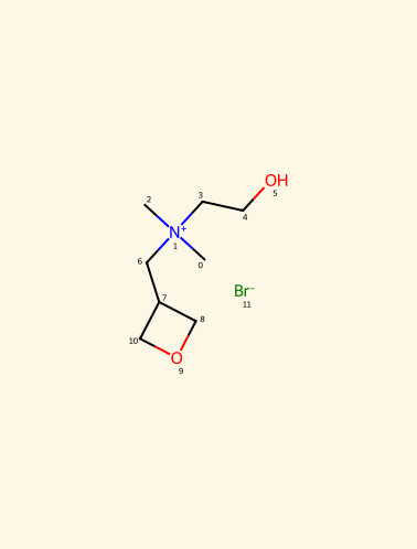 C[N+](C)(CCO)CC1COC1.[Br-]